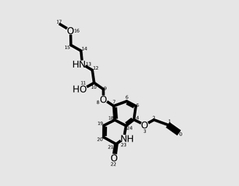 C#CCOc1ccc(OCC(O)CNCCOC)c2ccc(=O)[nH]c12